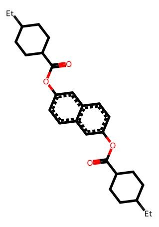 CCC1CCC(C(=O)Oc2ccc3cc(OC(=O)C4CCC(CC)CC4)ccc3c2)CC1